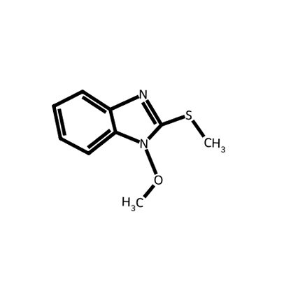 COn1c(SC)nc2ccccc21